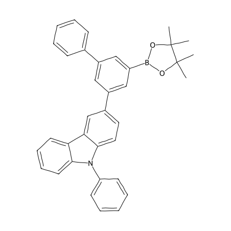 CC1(C)OB(c2cc(-c3ccccc3)cc(-c3ccc4c(c3)c3ccccc3n4-c3ccccc3)c2)OC1(C)C